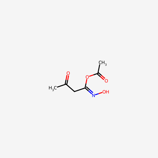 CC(=O)CC(=NO)OC(C)=O